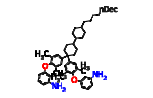 CCCCCCCCCCCCCCC1CCC(C2CCC(c3cc(C)c(Oc4cccc(N)c4)c(C)c3)(c3cc(C)c(Oc4cccc(N)c4)c(C)c3)CC2)CC1